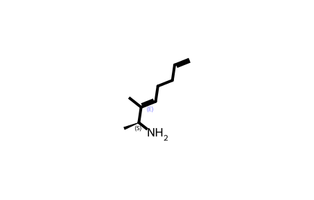 C=CCC/C=C(\C)[C@H](C)N